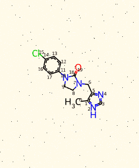 Cc1[nH]cnc1CN1CCN(c2ccc(Cl)cc2)C1=O